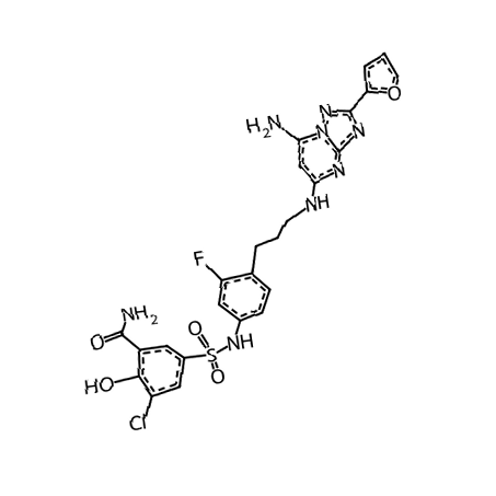 NC(=O)c1cc(S(=O)(=O)Nc2ccc(CCCNc3cc(N)n4nc(-c5ccco5)nc4n3)c(F)c2)cc(Cl)c1O